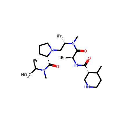 CC(C)C(C(=O)O)N(C)C(=O)[C@@H]1CCCN1C[C@H](C(C)C)N(C)C(=O)[C@@H](NC(=O)[C@H]1CNCCC1C)C(C)(C)C